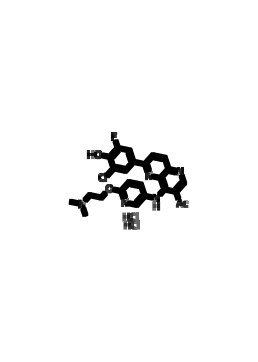 CC(=O)c1cnc2ccc(-c3cc(F)c(O)c(Cl)c3)nc2c1Nc1ccc(OCCN(C)C)nc1.Cl.Cl